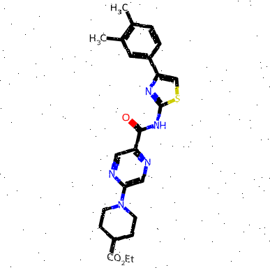 CCOC(=O)C1CCN(c2cnc(C(=O)Nc3nc(-c4ccc(C)c(C)c4)cs3)cn2)CC1